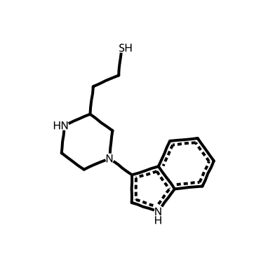 SCCC1CN(c2c[nH]c3ccccc23)CCN1